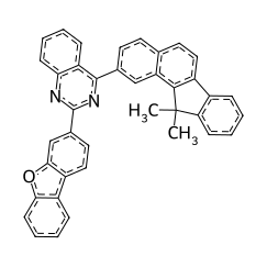 CC1(C)c2ccccc2-c2ccc3ccc(-c4nc(-c5ccc6c(c5)oc5ccccc56)nc5ccccc45)cc3c21